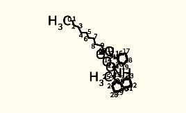 CCCCCCCCCCC(=O)OC(=O)c1ccccc1C(=O)NC(C)c1cccc2ccccc12